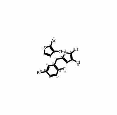 CC(=O)c1sccc1Cl.CCc1sc(Cc2cc(Br)ccc2Cl)cc1Cl